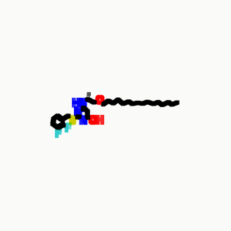 CCCCCCCCCCCCCCCCOC[C@@H](C)Nc1cc(O)nc(SCc2cccc(F)c2F)n1